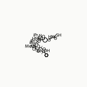 CC[C@H](C)[C@@H]([C@@H](CC(=O)N1CCC[C@H]1[C@H](OC)[C@@H](C)C(=O)N[C@H](C)[C@@H](O)c1ccccc1)OC)N(C)C(=O)[C@@H](NC(=O)[C@H](C(C)C)N(C)C(=O)OC1/C=C/CC(OCCNC(=O)CS)CCC1)C(C)C